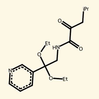 CCOC(CNC(=O)C(=O)CC(C)C)(OCC)c1cccnc1